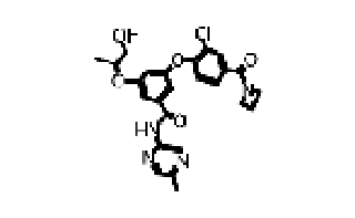 Cc1cnc(NC(=O)c2cc(Oc3ccc(C(=O)N4CCC4)cc3Cl)cc(O[C@@H](C)CO)c2)cn1